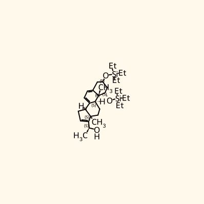 CC[Si](CC)(CC)O[C@@H]1CC2=CC=C3[C@H](CC[C@]4(C)C([C@H](C)O)=CC[C@@H]34)[C@@]2(C)[C@@H](O[Si](CC)(CC)CC)C1